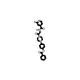 O=C(NCC(=O)N1CCN(c2ccc(OC(=O)c3ccccc3)cc2)CC1)c1ccnc(F)c1